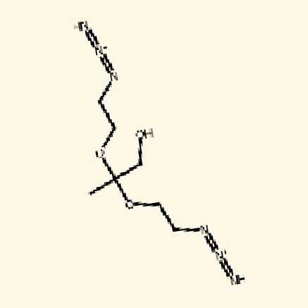 CC(CO)(OCCN=[N+]=N)OCCN=[N+]=N